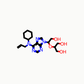 C=CCN(c1ncnc2c1ncn2C(CO)OC(CO)CO)C1CCCCC1